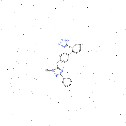 CC(C)(C)n1nc(-c2ccccc2)nc1Cc1ccc(-c2ccccc2-c2nnn[nH]2)cc1